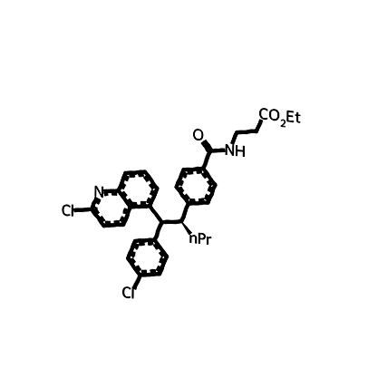 CCC[C@H](c1ccc(C(=O)NCCC(=O)OCC)cc1)C(c1ccc(Cl)cc1)c1cccc2nc(Cl)ccc12